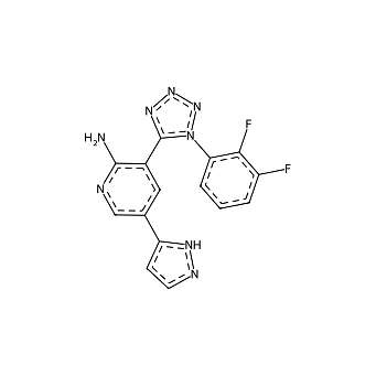 Nc1ncc(-c2ccn[nH]2)cc1-c1nnnn1-c1cccc(F)c1F